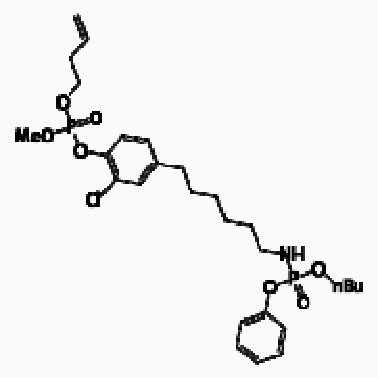 C=CCCOP(=O)(OC)Oc1ccc(CCCCCCNP(=O)(OCCCC)Oc2ccccc2)cc1Cl